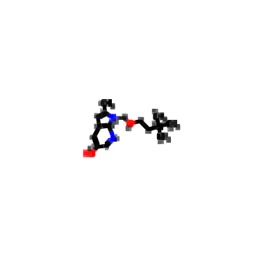 Cc1cc2cc(O)cnc2n1COCC[Si](C)(C)C